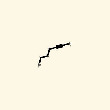 BrC#CCCCBr